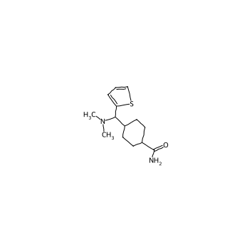 CN(C)C(c1cccs1)C1CCC(C(N)=O)CC1